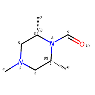 C[C@@H]1CN(C)C[C@H](C)N1C=O